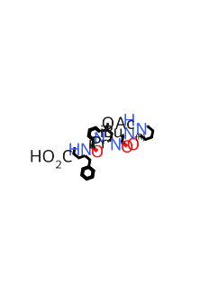 CCC(C)C(NC(=O)[C@H]1CCCCN1C)C(=O)N(C)C(CC(OC(C)=O)c1cccc(C(=O)NC(Cc2ccccc2)CC(C)C(=O)O)n1)C(C)C